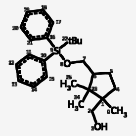 CC1(CO)CCC(CO[Si](c2ccccc2)(c2ccccc2)C(C)(C)C)C1(C)C